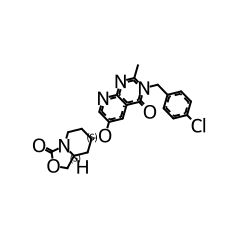 Cc1nc2ncc(O[C@H]3CCN4C(=O)OC[C@@H]4C3)cc2c(=O)n1Cc1ccc(Cl)cc1